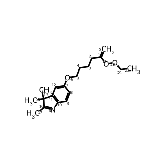 C=C(CCCCOc1ccc2c(c1)C(C)(C)C(C)=N2)OOCC